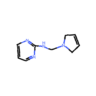 C1=CCN(CNc2ncccn2)C1